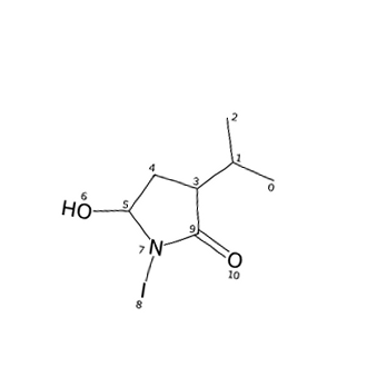 CC(C)C1CC(O)N(I)C1=O